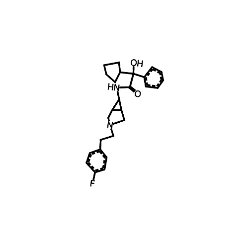 O=C(NC1C2CN(CCc3ccc(F)cc3)CC21)C(O)(c1ccccc1)C1CCCC1